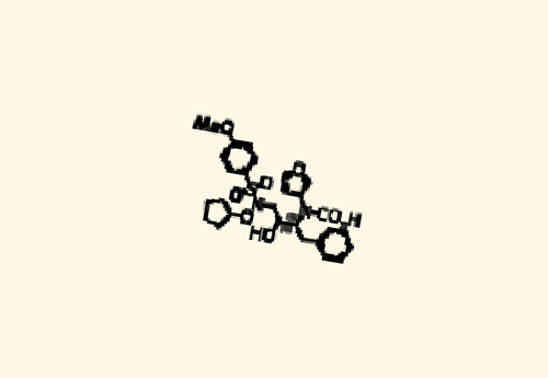 COc1ccc(S(=O)(=O)N(C[C@H](O)[C@H](Cc2ccccc2)N(C(=O)O)c2ccoc2)OC2CCCC2)cc1